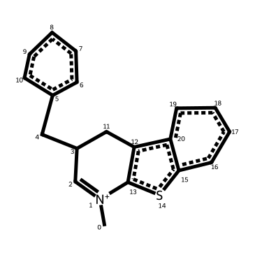 C[N+]1=CC(Cc2ccccc2)Cc2c1sc1ccccc21